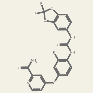 NC(=O)c1cc(Oc2ccc(NC(=O)Nc3ccc4c(c3)OC(F)(F)O4)c(F)c2)ccn1